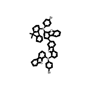 CC1(C)c2ccccc2-c2c(N(c3ccc(Br)cc3)c3ccc(-c4ccc5c(c4)sc4c(N(c6ccc(Br)cc6)c6cccc7c6sc6ccccc67)cccc45)c4c3oc3ccccc34)cccc21